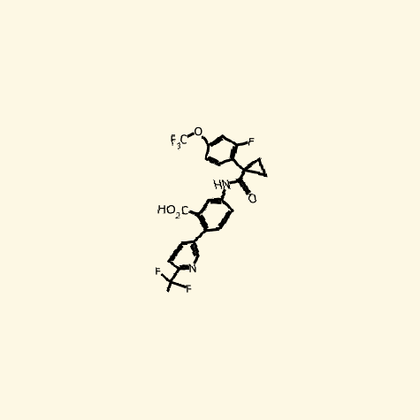 CC(F)(F)c1ccc(-c2ccc(NC(=O)C3(c4ccc(OC(F)(F)F)cc4F)CC3)cc2C(=O)O)cn1